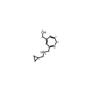 OCC1=CC(CNCC2CC2)=NCC=C1